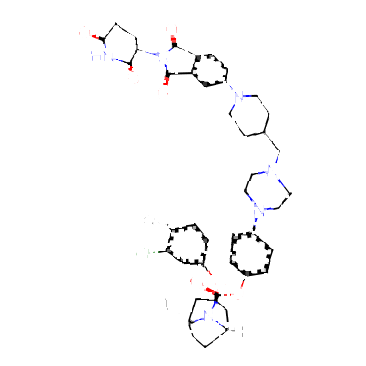 N#Cc1ccc(OC2C[C@H]3CC[C@@H](C2)N3C(=O)Oc2ccc(N3CCN(CC4CCN(c5ccc6c(c5)C(=O)N(C5CCC(=O)NC5=O)C6=O)CC4)CC3)cc2)cc1Cl